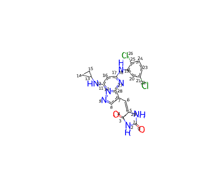 O=C1NC(=O)/C(=C\c2cnn3c(NC4CC4)cc(Nc4cc(Cl)ccc4Cl)nc23)N1